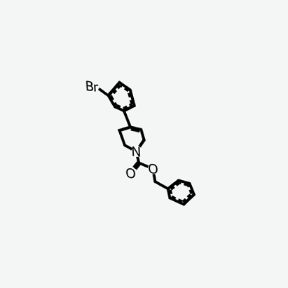 O=C(OCc1ccccc1)N1CC=C(c2cccc(Br)c2)CC1